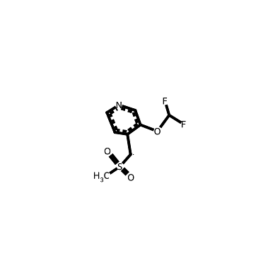 CS(=O)(=O)[CH]c1ccncc1OC(F)F